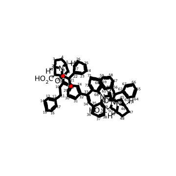 O=C(O)[C@@H]1[C@H]2CC[C@@H](CN1C(=O)CCc1ccccc1)N2C(=O)C(c1ccccc1)c1cccc(C2=Cc3ccccc3N(C(=O)N3C[C@H]4CC[C@@H]([C@@H]3C(=O)O)N4C(=O)C(c3ccccc3)c3ccccc3)c3ccccc32)c1